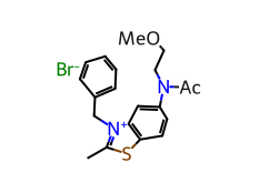 COCCN(C(C)=O)c1ccc2sc(C)[n+](Cc3ccccc3)c2c1.[Br-]